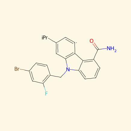 CC(C)c1c[c]c2c3c(C(N)=O)cccc3n(Cc3ccc(Br)cc3F)c2c1